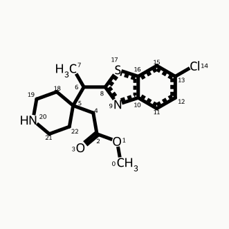 COC(=O)CC1(C(C)c2nc3ccc(Cl)cc3s2)CCNCC1